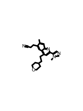 Cc1cc2nc(-c3cncn3C)cc(CCC3CCOCC3)c2cc1CCC#N